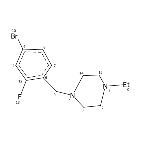 CCN1CCN(Cc2ccc(Br)cc2F)CC1